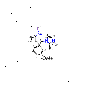 COc1cccc(Cn2ccn(C)[c]2=[Pt])c1.IN(I)C1CCC1